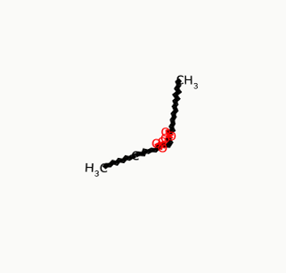 CCCCCCCCCCCCCCCCCC(=O)OC(=O)/C=C\C(=O)OC(=O)CCCCCCCCCCCCCCCCC